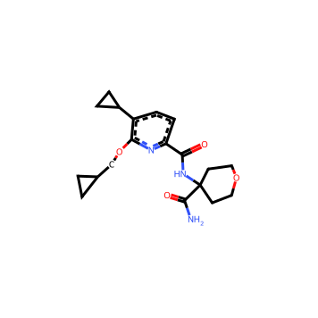 NC(=O)C1(NC(=O)c2ccc(C3CC3)c(OCC3CC3)n2)CCOCC1